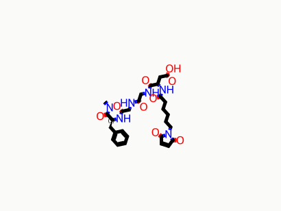 C=NC(=O)[C@H](Cc1ccccc1)NC(=O)CNC(=O)CNC(=O)C(CC(=O)O)NC(=O)CCCCCN1C(=O)C=CC1=O